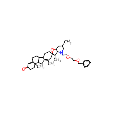 CC1=C2CC3C(CCC4=CC(=O)CCC43C)C2CCC2(C1)OC1CC(C)CN(CCOCCOCc3ccccc3)C1C2C